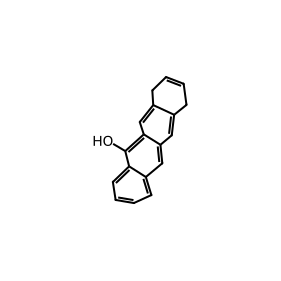 Oc1c2ccccc2cc2cc3c(cc12)CC=CC3